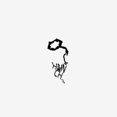 CNN=C=Cc1ccccc1